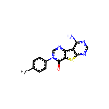 Cc1ccc(-n2cnc3c(sc4ncnc(N)c43)c2=O)cc1